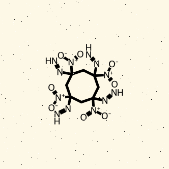 N=NC1([N+](=O)[O-])CC(N=N)([N+](=O)[O-])CC(N=N)([N+](=O)[O-])CC(N=N)([N+](=O)[O-])C1